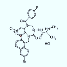 CNC(C)C(=O)N[C@H]1CN(C(=O)c2ccc(F)cc2)c2cc(Cl)ccc2N(Cc2c(OC)ccc3cc(Br)ccc23)C1=O.Cl